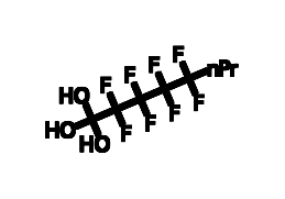 CCCC(F)(F)C(F)(F)C(F)(F)C(F)(F)C(O)(O)O